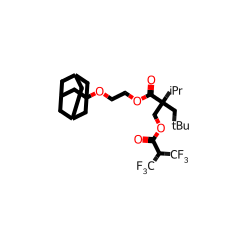 CC(C)C(COC(=O)C(C(F)(F)F)C(F)(F)F)(CC(C)(C)C)C(=O)OCCOC12CC3CC(CC(C3)C1)C2